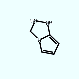 c1cc2n(c1)CNN2